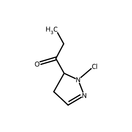 CCC(=O)C1CC=NN1Cl